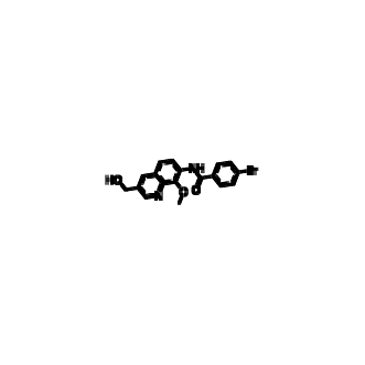 COc1c(NC(=O)c2ccc(Br)cc2)ccc2cc(CO)cnc12